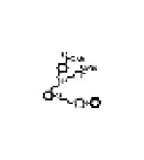 COC(=O)CCCCN(CCc1ccccc1OCCCN1CCN(c2ccccc2)CC1)Cc1ccc(C(=O)OC)cc1